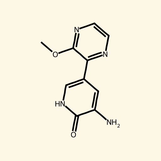 COc1nccnc1-c1c[nH]c(=O)c(N)c1